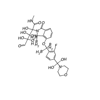 BC(B)(Oc1cccc2c1C(B)(B)N(C(O)(C(=O)NC)C(O)(O)C(O)(O)C=O)C2=O)c1ccc(C(O)(O)N2CCOCC2)cc1F